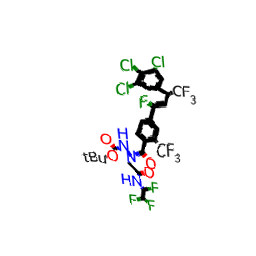 CC(C)(C)OC(=O)NN(CC(=O)NC(F)C(F)F)C(=O)c1ccc(C(F)=CC(c2cc(Cl)c(Cl)c(Cl)c2)C(F)(F)F)cc1C(F)(F)F